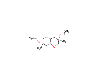 C=COC1(C)COC2CC(C)(OC=C)COC2C1